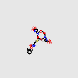 C[C@]1(CSCCCCCNC(=O)OC[C@H]2[C@@H]3CCC#CCC[C@@H]32)COCCN(Cc2cccc(C(=O)O)n2)CCOCCOCCN(Cc2cccc(C(=O)O)n2)CCO1